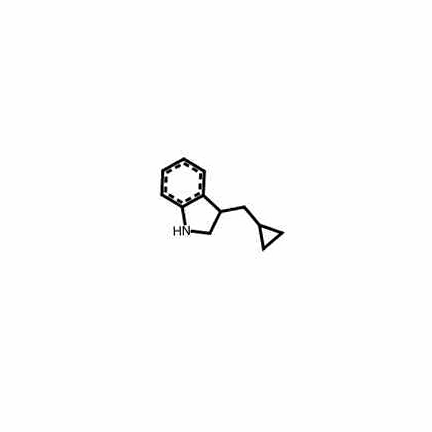 c1ccc2c(c1)NCC2CC1CC1